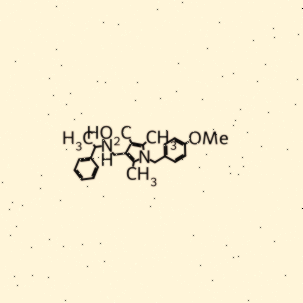 COc1ccc(Cn2c(C)c(CNC(C)c3ccccc3)c(C(=O)O)c2C)cc1